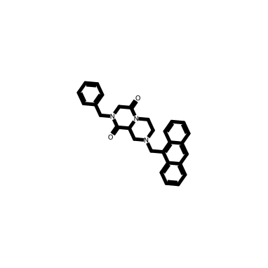 O=C1C2CN(Cc3c4ccccc4cc4ccccc34)CCN2C(=O)CN1Cc1ccccc1